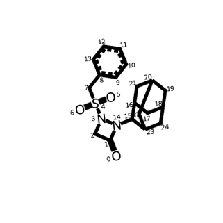 O=C1CN(S(=O)(=O)Cc2ccccc2)N1C1C2CC3CC(C2)CC1C3